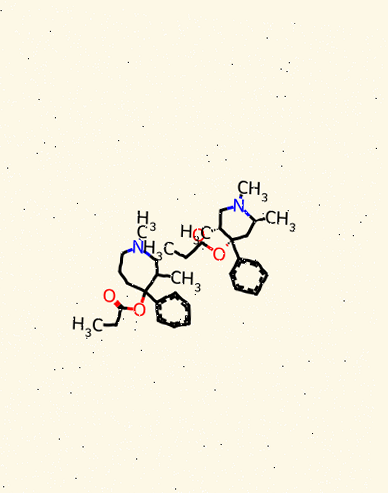 CCC(=O)OC1(c2ccccc2)CCCN(C)CC1C.CCC(=O)O[C@@]1(c2ccccc2)C[C@H](C)N(C)C[C@H]1C